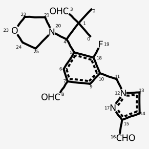 CC(C)(C=O)C(c1cc(C=O)cc(Cn2ccc(C=O)n2)c1F)N1CCOCC1